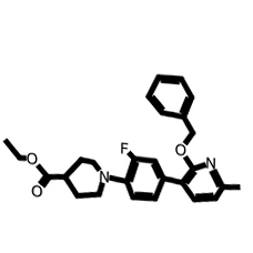 CCOC(=O)C1CCN(c2ccc(-c3ccc(C)nc3OCc3ccccc3)cc2F)CC1